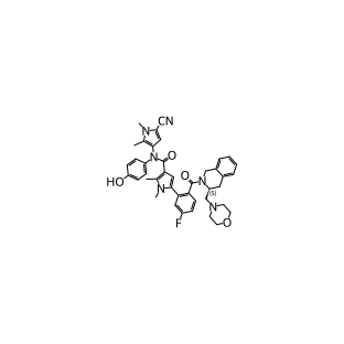 Cc1c(N(C(=O)c2cc(-c3cc(F)ccc3C(=O)N3Cc4ccccc4C[C@H]3CN3CCOCC3)n(C)c2C)c2ccc(O)cc2)cc(C#N)n1C